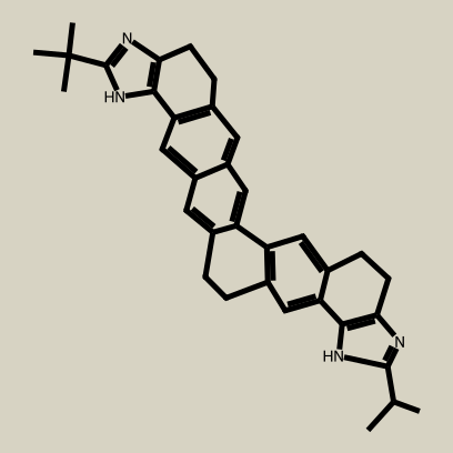 CC(C)c1nc2c([nH]1)-c1cc3c(cc1CC2)-c1cc2cc4c(cc2cc1CC3)-c1[nH]c(C(C)(C)C)nc1CC4